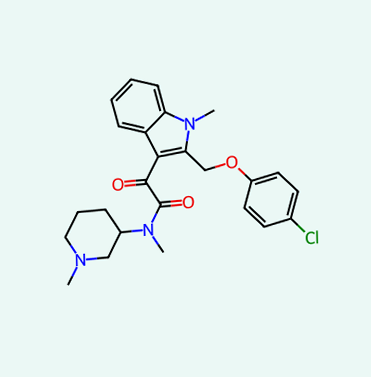 CN1CCCC(N(C)C(=O)C(=O)c2c(COc3ccc(Cl)cc3)n(C)c3ccccc23)C1